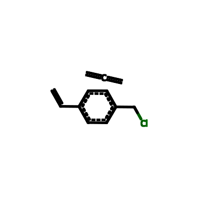 C=C=C.C=Cc1ccc(CCl)cc1